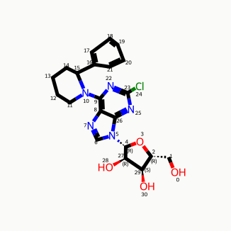 OC[C@H]1O[C@@H](n2cnc3c(N4CCCCC4c4ccccc4)nc(Cl)nc32)[C@H](O)[C@@H]1O